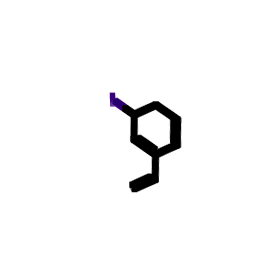 C=CC1=CC(I)CC=C1